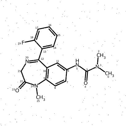 CN(C)C(=O)Nc1ccc2c(c1)C(c1ccccc1F)=NCC(=O)N2C